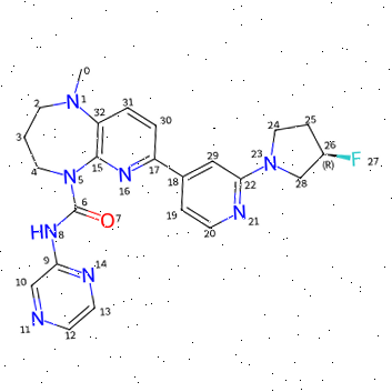 CN1CCCN(C(=O)Nc2cnccn2)c2nc(-c3ccnc(N4CC[C@@H](F)C4)c3)ccc21